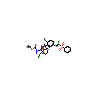 CC(C)(C)OC(=O)NC1=N[C@](C)(c2cc(/C=C(\F)S(=O)(=O)c3ccccc3)ccc2F)[C@@H]2CC[C@@]1(CF)S2(=O)=O